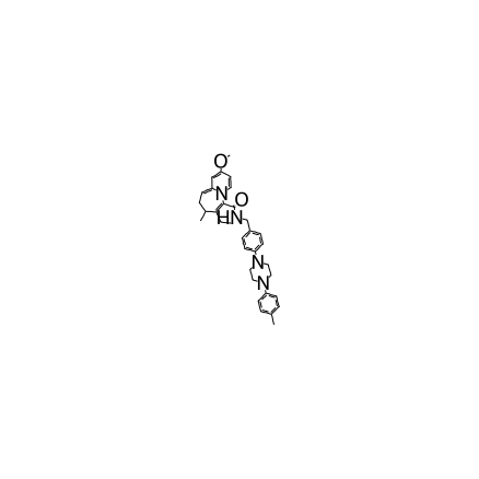 CCC1=C(C(=O)NCc2ccc(N3CCN(c4ccc(C)cc4)CC3)cc2)N2C=CC(OC)=CC2=CCC1C